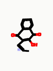 C/C=C\C1=C(O)C(=O)c2ccccc2C1=O